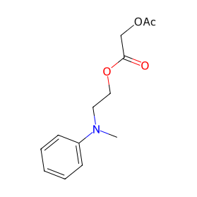 CC(=O)OCC(=O)OCCN(C)c1ccccc1